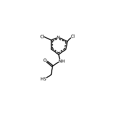 O=C(CS)Nc1cc(Cl)nc(Cl)c1